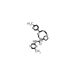 Cc1ccc(C2=CC=CN3CC[C@@H](C3)N(C(=O)Nc3cncc(C)n3)C=N2)cn1